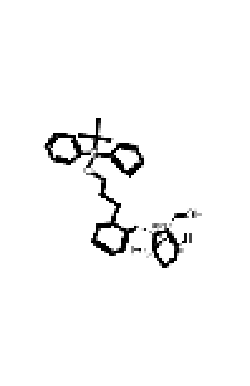 CC(C)(C)[Si](OCCCc1ccccc1C[C@@H]1[C@H](CO)[C@H]2CC[C@@H]1O2)(c1ccccc1)c1ccccc1